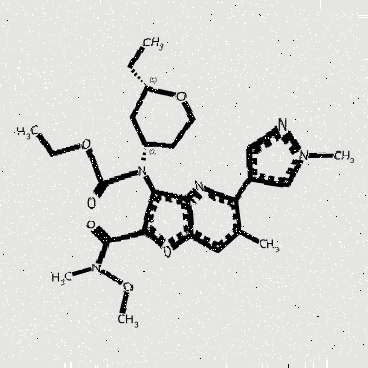 CCOC(=O)N(c1c(C(=O)N(C)OC)oc2cc(C)c(-c3cnn(C)c3)nc12)[C@H]1CCO[C@@H](CC)C1